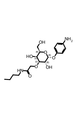 CCCCNC(=O)CO[C@H]1[C@@H](O)[C@@H](CO)O[C@H](Oc2ccc(N)cc2)[C@@H]1O